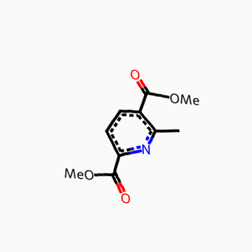 COC(=O)c1ccc(C(=O)OC)c(C)n1